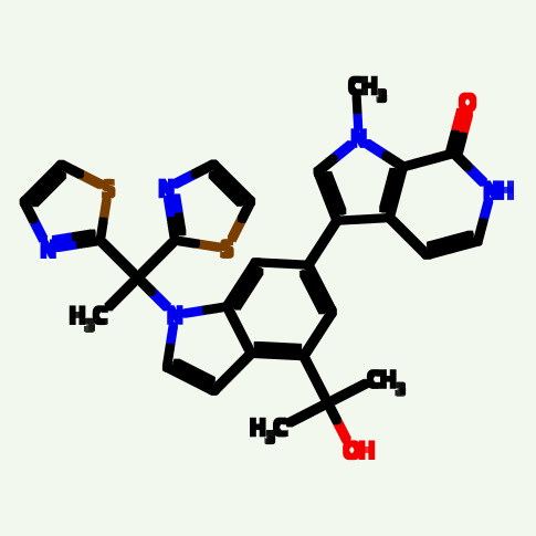 Cn1cc(-c2cc(C(C)(C)O)c3ccn(C(C)(c4nccs4)c4nccs4)c3c2)c2cc[nH]c(=O)c21